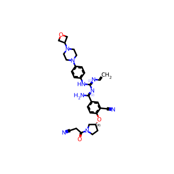 C=C/N=C(\N=C(/N)c1ccc(O[C@@H]2CCN(C(=O)CC#N)C2)c(C#N)c1)Nc1ccc(N2CCN(C3COC3)CC2)cc1